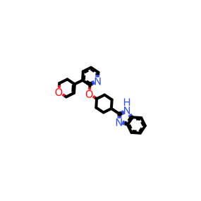 C1=C(c2cccnc2OC2CCC(c3nc4ccccc4[nH]3)CC2)CCOC1